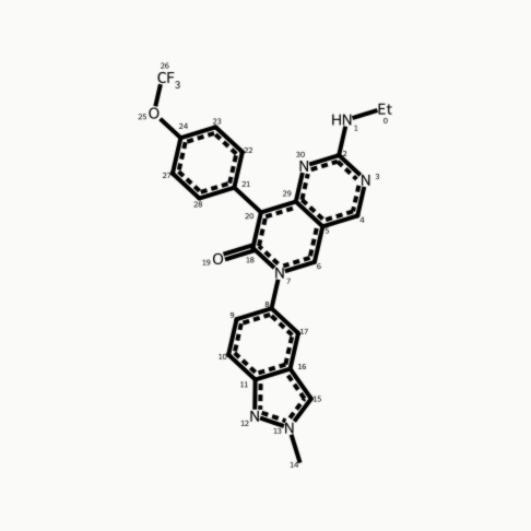 CCNc1ncc2cn(-c3ccc4nn(C)cc4c3)c(=O)c(-c3ccc(OC(F)(F)F)cc3)c2n1